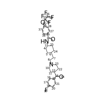 O=C(NC1CCC(CCN2CCC(C(=O)c3ccc(F)cc3)CC2)CC1)c1ccc(OC(F)(F)C(F)F)cc1